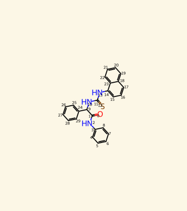 O=C(Nc1ccccc1)C(NC(=S)Nc1cccc2ccccc12)c1ccccc1